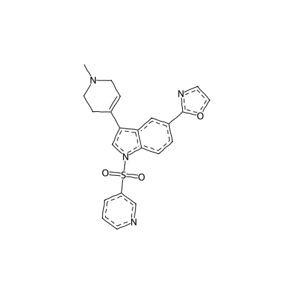 CN1CC=C(c2cn(S(=O)(=O)c3cccnc3)c3ccc(-c4ncco4)cc23)CC1